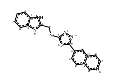 c1ccc2[nH]c(CNc3nnc(-c4ccc5cnccc5c4)s3)nc2c1